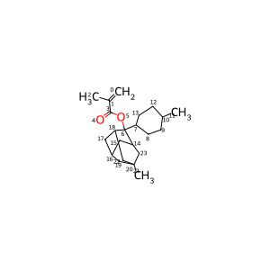 C=C(C)C(=O)OC1(C2CCC(C)CC2)C2CC3CC1CC(C)(C3)C2